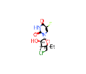 CC[C@@]1(CCl)O[C@@H](n2cc(F)c(=O)[nH]c2=O)[C@H](O)[C@@H]1C